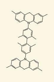 Cc1ccc2c(c1)Cc1cc(C)ccc1N2c1cc(C)c(-c2c(C)cc(N3c4ccc(C)cc4Cc4cc(C)ccc43)cc2C)c(C)c1